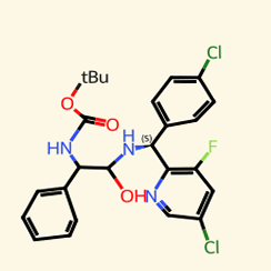 CC(C)(C)OC(=O)NC(c1ccccc1)C(O)N[C@@H](c1ccc(Cl)cc1)c1ncc(Cl)cc1F